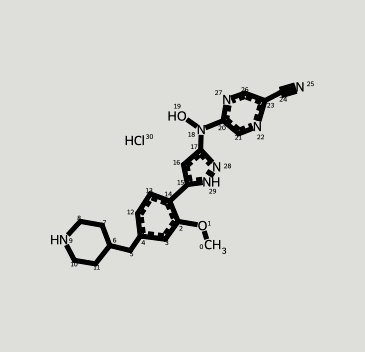 COc1cc(CC2CCNCC2)ccc1-c1cc(N(O)c2cnc(C#N)cn2)n[nH]1.Cl